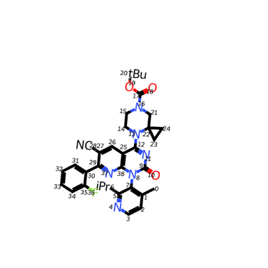 Cc1ccnc(C(C)C)c1-n1c(=O)nc(N2CCN(C(=O)OC(C)(C)C)CC23CC3)c2cc(C#N)c(-c3ccccc3F)nc21